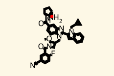 COc1cc(C(=O)N2CC3CCC2[C@@H]3N)cc2nc(-c3cc4ccccc4n3CC3CC3)n(CC3CN(C(=O)c4cc(C#N)ccc4F)C3)c12